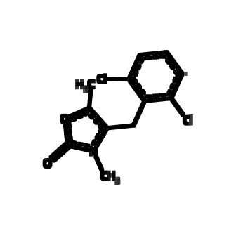 Cc1oc(=O)n(C)c1Cc1c(Cl)[c]ccc1Cl